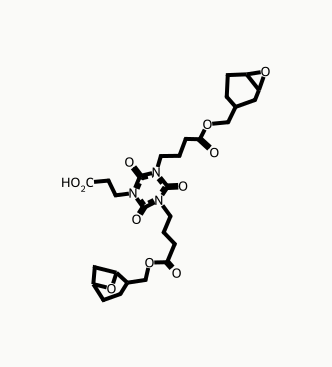 O=C(O)CCn1c(=O)n(CCCC(=O)OCC2CCC3OC3C2)c(=O)n(CCCC(=O)OCC2CCC3CC2O3)c1=O